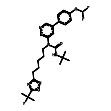 CC(C)(C)NC(=O)N(CCCCCc1noc(C(C)(C)F)n1)c1cc(-c2ccc(OC(F)F)cc2)cnn1